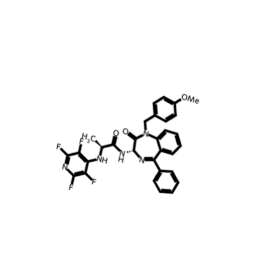 COc1ccc(CN2C(=O)[C@@H](NC(=O)[C@H](C)Nc3c(F)c(F)nc(F)c3F)N=C(c3ccccc3)c3ccccc32)cc1